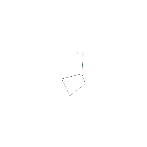 [18F]C1CCC1